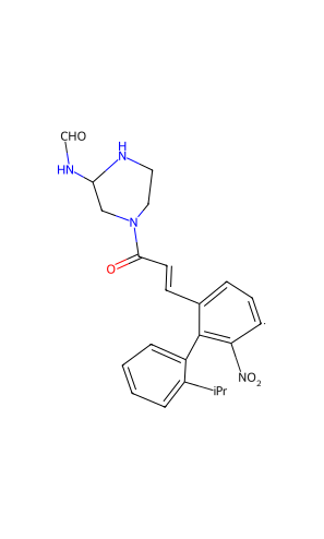 CC(C)c1ccccc1-c1c([N+](=O)[O-])[c]ccc1/C=C/C(=O)N1CCNC(NC=O)C1